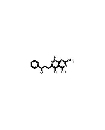 Nc1nc(O)c2c(=O)c(CCC(=O)c3ccccc3)n[nH]c2n1